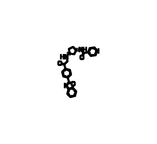 O=C(CN[C@@H]1CC[C@H](NC(=O)c2ccncc2)C1)c1ccc(-c2nc3ccccc3o2)cc1